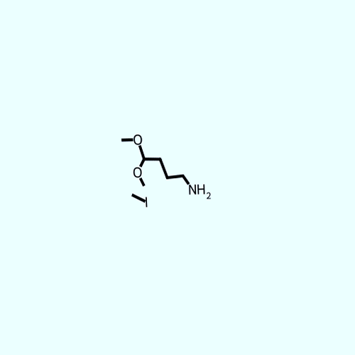 CI.COC(CCCN)OC